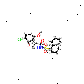 COc1ccc(Cl)c2c1[C@@H](C(=O)NS(=O)(=O)c1cccc3ccccc13)CO2